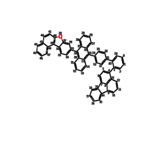 c1ccc(-c2ccc3c4c(cccc24)-c2ccccc2-3)c(-c2ccc(-c3c4ccccc4c(-c4ccc5c(c4)oc4ccc6ccccc6c45)c4ccccc34)cc2)c1